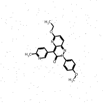 CCOc1ccc2nn(-c3ccc(OC)cc3)c(=O)c(-c3ccc(C)nc3)c2n1